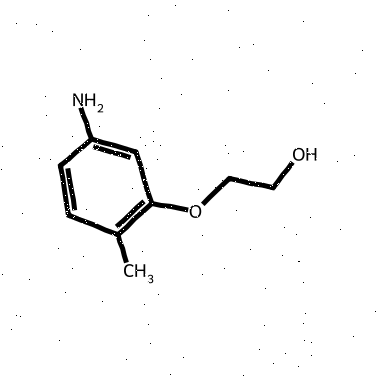 Cc1ccc(N)cc1OCCO